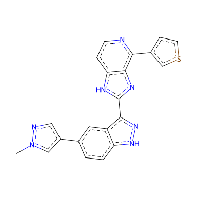 Cn1cc(-c2ccc3[nH]nc(-c4nc5c(-c6ccsc6)nccc5[nH]4)c3c2)cn1